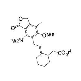 CNc1c(CC=C2CCCCC2CC(=O)O)c(OC)c(C)c2c1C(=O)OC2